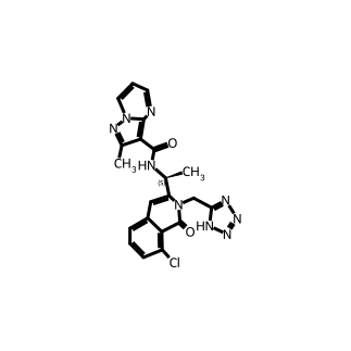 Cc1nn2cccnc2c1C(=O)N[C@@H](C)c1cc2cccc(Cl)c2c(=O)n1Cc1nnn[nH]1